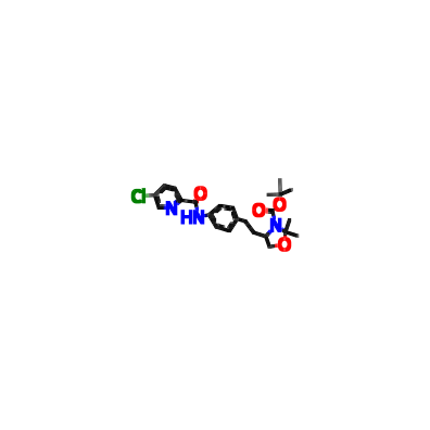 CC(C)(C)OC(=O)N1C(CCc2ccc(NC(=O)c3ccc(Cl)cn3)cc2)COC1(C)C